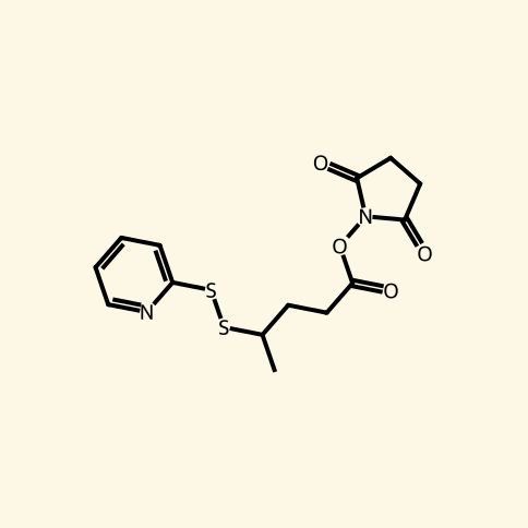 CC(CCC(=O)ON1C(=O)CCC1=O)SSc1ccccn1